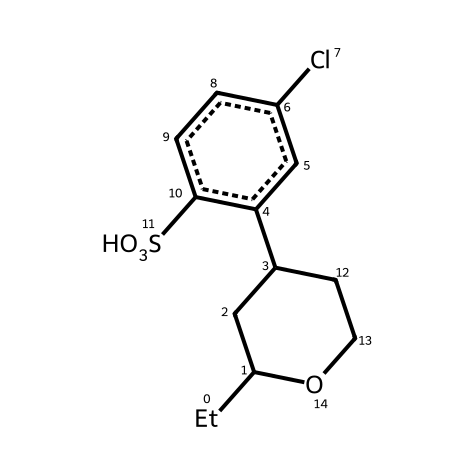 CCC1CC(c2cc(Cl)ccc2S(=O)(=O)O)CCO1